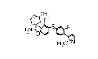 C[C@H]1C[C@@](C(N)=O)(C2CC=CC(Sc3ccc(-c4ccnn4C)c(F)c3)=C2F)CCO1